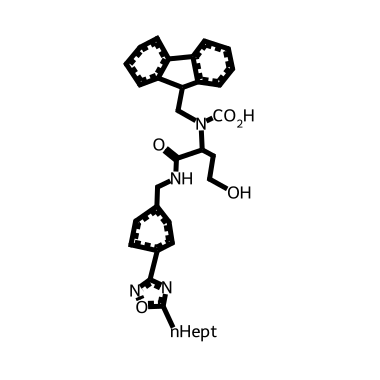 CCCCCCCc1nc(-c2ccc(CNC(=O)C(CCO)N(CC3c4ccccc4-c4ccccc43)C(=O)O)cc2)no1